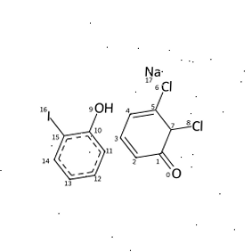 O=C1C=CC=C(Cl)C1Cl.Oc1ccccc1I.[Na]